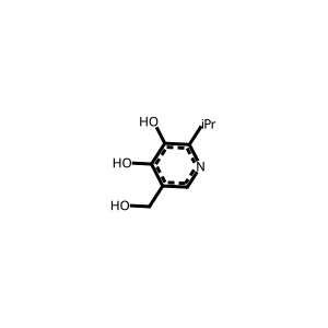 CC(C)c1ncc(CO)c(O)c1O